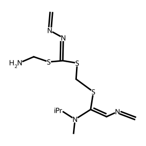 C=N/C=C(\SCS/C(=N/N=C)SCN)N(C)C(C)C